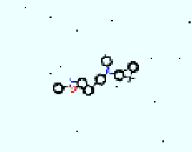 CC1(C)c2ccccc2-c2cc(N(c3ccccc3)c3ccc(-c4cccc5c4ccc4nc(-c6ccccc6)oc45)cc3)ccc21